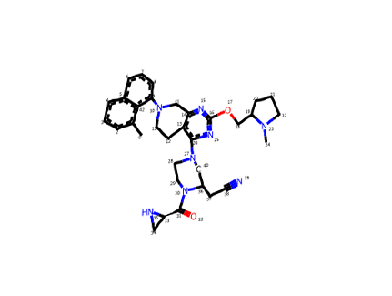 Cc1cccc2cccc(N3CCc4c(nc(OCC5CCCN5C)nc4N4CCN(C(=O)[C@H]5CN5)C(CC#N)C4)C3)c12